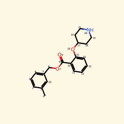 Cc1cccc(COC(=O)c2ccccc2OC2CCNCC2)c1